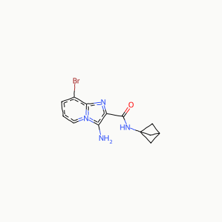 Nc1c(C(=O)NC23CC(C2)C3)nc2c(Br)cccn12